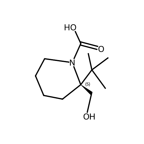 CC(C)(C)[C@]1(CO)CCCCN1C(=O)O